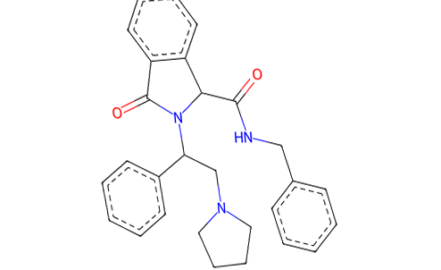 O=C(NCc1ccccc1)C1c2ccccc2C(=O)N1C(CN1CCCC1)c1ccccc1